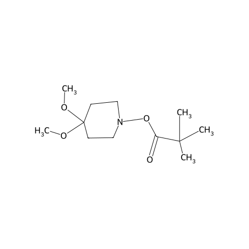 COC1(OC)CCN(OC(=O)C(C)(C)C)CC1